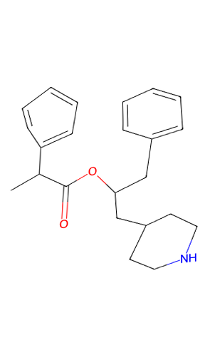 CC(C(=O)OC(Cc1ccccc1)CC1CCNCC1)c1ccccc1